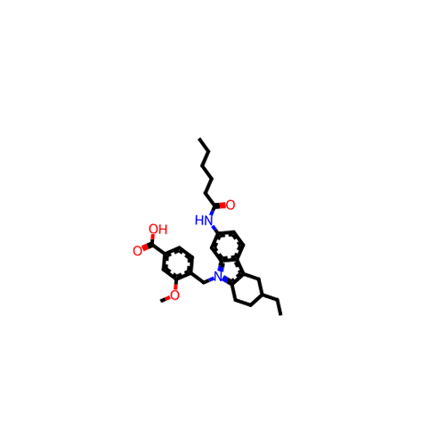 CCCCCC(=O)Nc1ccc2c3c(n(Cc4ccc(C(=O)O)cc4OC)c2c1)CCC(CC)C3